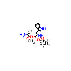 CC(C)(C)OC(=O)NC(Cc1c[nH]c2ccccc12)C(=O)O.COC(=O)C(C)N